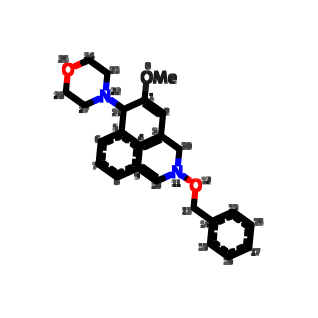 COC1=CC2=c3c(cccc3=CN(OCc3ccccc3)C2)C1N1CCOCC1